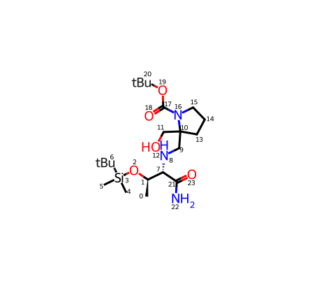 C[C@@H](O[Si](C)(C)C(C)(C)C)[C@H](NCC1(CO)CCCN1C(=O)OC(C)(C)C)C(N)=O